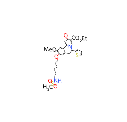 CCOC(=O)c1cn2c(cc1=O)-c1cc(OC)c(OCCCCCCNS(C)(=O)=O)cc1CC2c1cccs1